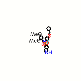 COc1ccc(CN(c2ccc(OCCC3CCCCC3)cc2F)S(=O)(=O)c2ccc3c(c2)CCNC3)c(OC)c1